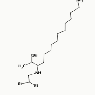 CCC(CC)CNC(CCCCCCCCCCCN)C(C)C(C)(C)C